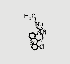 C=CCNCc1nnc2n1-c1cccc(Br)c1C(c1ccccc1Cl)=NC2